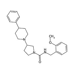 COc1ccccc1CNC(=O)N1CCC(N2CCC(c3ccccc3)CC2)C1